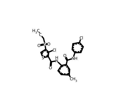 CCCS(=O)(=O)c1csc(C(=O)Nc2ccc(C)cc2C(=O)Nc2ccc(Cl)cc2)c1Cl